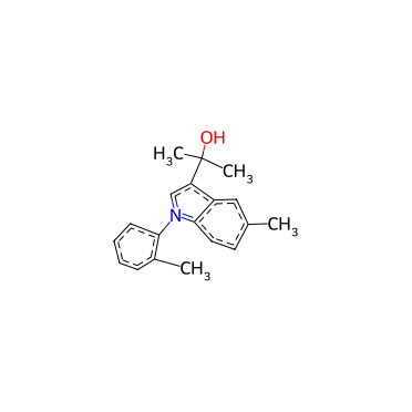 Cc1ccc2c(c1)c(C(C)(C)O)cn2-c1ccccc1C